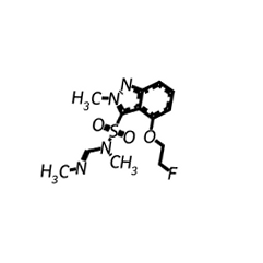 CN=CN(C)S(=O)(=O)c1c2c(OCCF)cccc2nn1C